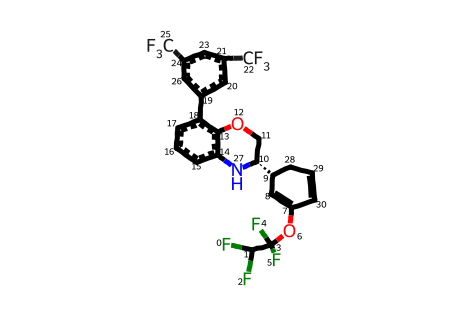 FC(F)C(F)(F)OC1=CC([C@H]2COc3c(cccc3-c3cc(C(F)(F)F)cc(C(F)(F)F)c3)N2)CC=C1